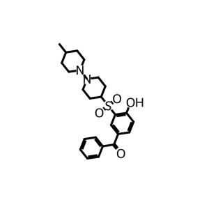 CC1CCN(N2CCC(S(=O)(=O)c3cc(C(=O)c4ccccc4)ccc3O)CC2)CC1